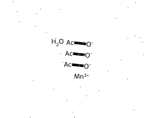 CC(=O)[O-].CC(=O)[O-].CC(=O)[O-].O.[Mn+3]